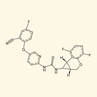 N#Cc1cc(F)ccc1Oc1ccc(NC(=O)NC2[C@H]3COc4c(F)ccc(F)c4[C@@H]23)nc1